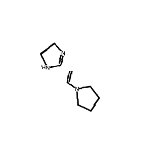 C1=NCCN1.C=CN1CCCC1